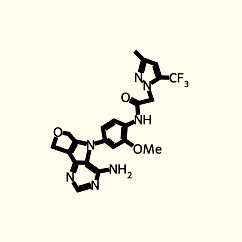 COc1cc(-n2c3c(c4ncnc(N)c42)COC3)ccc1NC(=O)Cn1nc(C)cc1C(F)(F)F